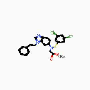 CC(C)(C)OC(=O)CN(Sc1cc(Cl)cc(Cl)c1)c1ccc2ncn(CCc3ccccc3)c2c1